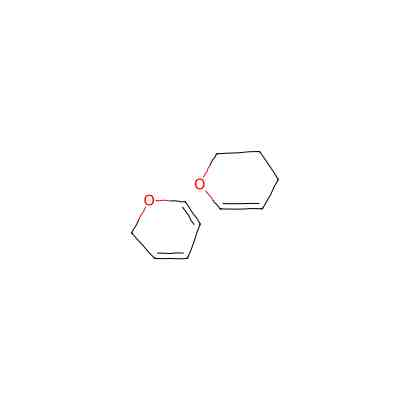 C1=CCOC=C1.C1=COCCC1